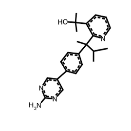 CC(C)C(C)(c1ccc(-c2cnc(N)nc2)cc1)c1ncccc1C(C)(C)O